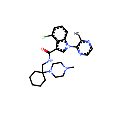 CN1CCN(C2(CNC(=O)c3cn(-c4nccnc4C#N)c4cccc(Cl)c34)CCCCC2)CC1